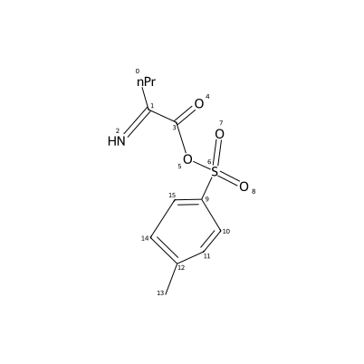 CCCC(=N)C(=O)OS(=O)(=O)c1ccc(C)cc1